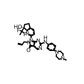 C=CCn1c(=O)c2cnc(Nc3ccc(N4CCN(C)CC4)cc3)nc2n1-c1ccc2c(n1)[C@@](O)(C(C)(F)F)CC2